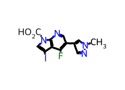 Cn1cc(-c2cnc3c(c(I)cn3C(=O)O)c2F)cn1